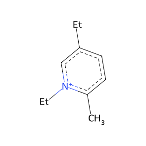 CCc1ccc(C)[n+](CC)c1